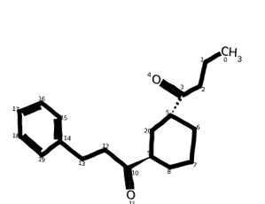 CCCC(=O)[C@@H]1CCC[C@@H](C(=O)CCc2ccccc2)C1